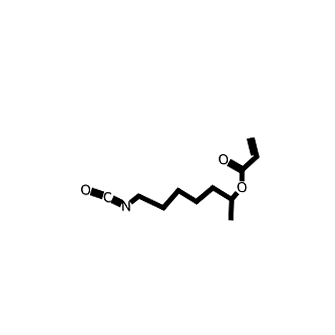 C=CC(=O)OC(C)CCCCCN=C=O